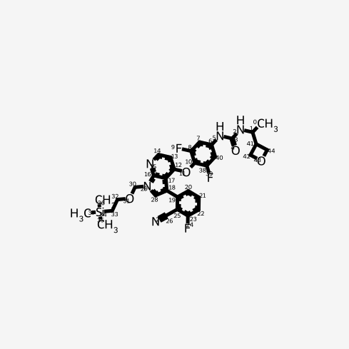 CC(NC(=O)Nc1cc(F)c(Oc2ccnc3c2c(-c2cccc(F)c2C#N)cn3COCC[Si](C)(C)C)c(F)c1)C1COC1